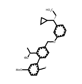 COc1ccc(F)c(-c2ccc(COc3cccc([C@@H](CC(=O)O)C4CC4)c3)cc2[C@H](C)C(C)(C)C)c1